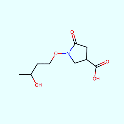 CC(O)CCON1CC(C(=O)O)CC1=O